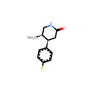 CCOC(=O)[C@H]1CNC(=O)C[C@H]1c1ccc(F)cc1